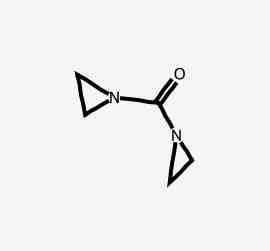 O=C(N1CC1)N1CC1